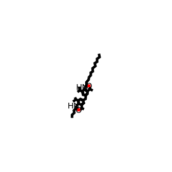 CCCCCCCCCCCCCC(=O)Nc1c(C(C)C)cc(Cc2cc(C(C)C)c(NC(=O)CCCC)c(C(C)C)c2)cc1C(C)C